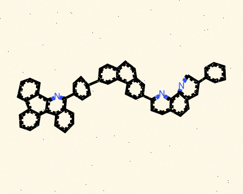 c1ccc(-c2cnc3c(ccc4ccc(-c5ccc6c(ccc7ccc(-c8ccc(-c9nc%10c%11ccccc%11c%11ccccc%11c%10c%10ccccc9%10)cc8)cc76)c5)nc43)c2)cc1